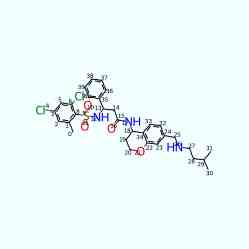 Cc1cc(Cl)cc(Cl)c1S(=O)(=O)NC(CC(=O)NC1CCOc2cc(CNCCC(C)C)ccc21)c1ccccc1